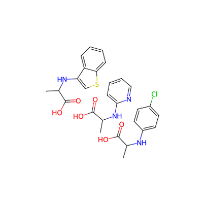 CC(Nc1ccc(Cl)cc1)C(=O)O.CC(Nc1ccccn1)C(=O)O.CC(Nc1csc2ccccc12)C(=O)O